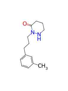 Cc1cccc(CCCN2NCCCC2=O)c1